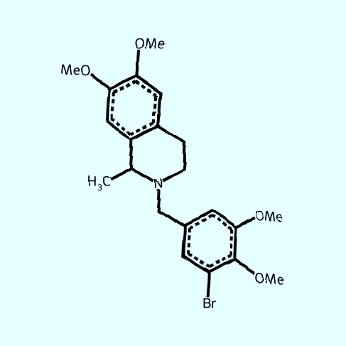 COc1cc2c(cc1OC)C(C)N(Cc1cc(Br)c(OC)c(OC)c1)CC2